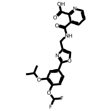 CC(C)Oc1cc(-c2nc(CNC(=O)c3cccnc3C(=O)O)co2)ccc1OC(F)F